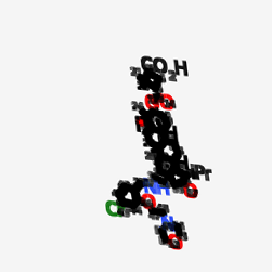 CC(C)C1=C2[C@H]3CC[C@@H]4[C@@]5(C)CC[C@H](OC(=O)[C@H]6C[C@@H](C(=O)O)C6(C)C)C(C)(C)[C@@H]5CC[C@@]4(C)[C@]3(C)CC[C@@]2(CCNCc2ccc(Cl)cc2OCCN2CCOCC2)CC1=O